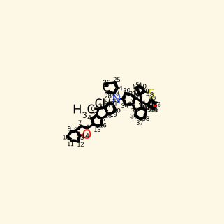 CC1(C)c2cc(-c3cc4ccccc4o3)ccc2-c2ccc(N(c3ccccc3)c3ccc4c(c3)-c3ccccc3C43c4ccccc4Sc4ccccc43)cc21